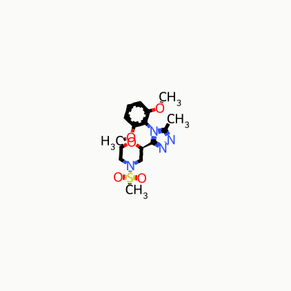 COc1cccc(OC)c1-n1c(C)nnc1[C@H]1CN(S(C)(=O)=O)CCO1